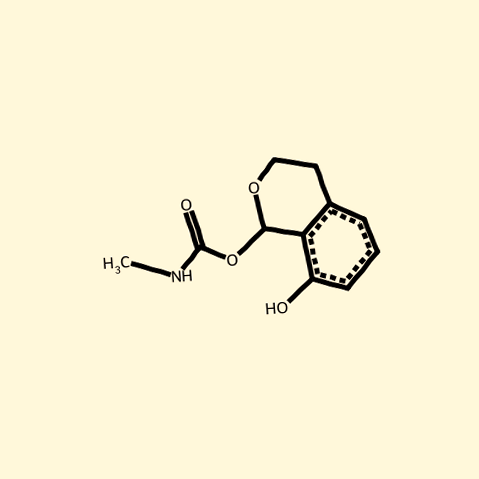 CNC(=O)OC1OCCc2cccc(O)c21